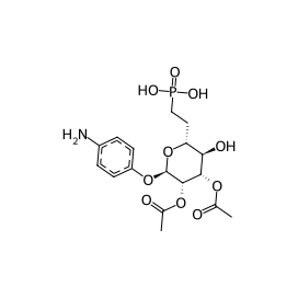 CC(=O)O[C@@H]1[C@@H](Oc2ccc(N)cc2)O[C@H](CCP(=O)(O)O)[C@@H](O)[C@@H]1OC(C)=O